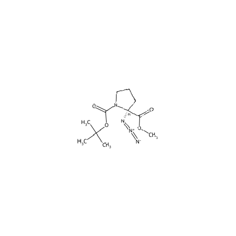 COC(=O)[C@]1(N=[N+]=[N-])CCCN1C(=O)OC(C)(C)C